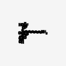 Cn1c(=O)n(C2CCC(=O)NC2=O)c2ccc(CCCCCCCCN)cc21.O=C(O)C(F)(F)F